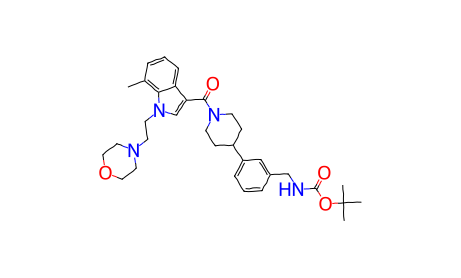 Cc1cccc2c(C(=O)N3CCC(c4cccc(CNC(=O)OC(C)(C)C)c4)CC3)cn(CCN3CCOCC3)c12